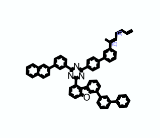 C=C/C=C\C=C(/C)c1cccc(-c2ccc(-c3nc(-c4cccc(-c5ccc6ccccc6c5)c4)nc(-c4cccc5oc6c(-c7cccc(-c8ccccc8)c7)cccc6c45)n3)cc2)c1